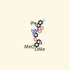 COc1cc2nccc(Oc3ccc(NC(=O)c4cn(C(C)C)c5ccc(F)cc5c4=O)nc3)c2cc1OC